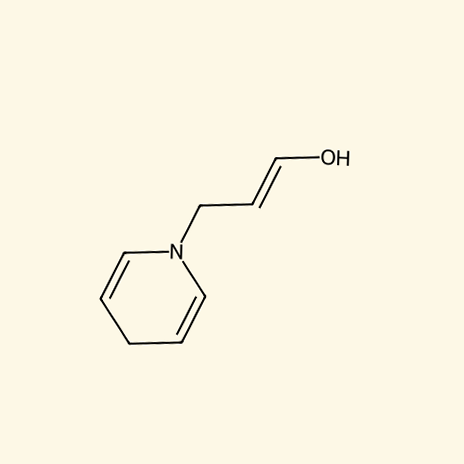 OC=CCN1C=CCC=C1